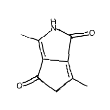 CC1=C2C(=O)NC(C)=C2C(=O)C1